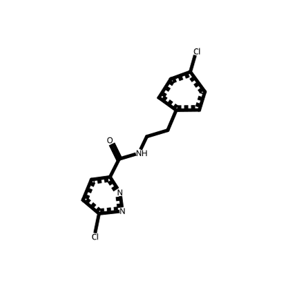 O=C(NCCc1ccc(Cl)cc1)c1ccc(Cl)nn1